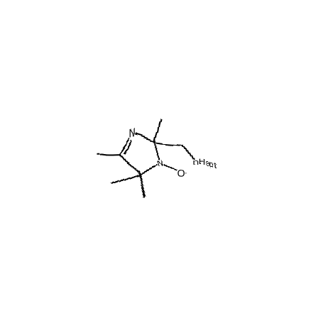 CCCCCCCCC1(C)N=C(C)C(C)(C)N1[O]